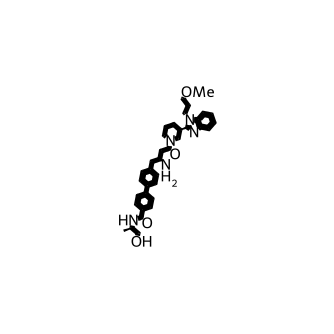 COCCCn1c([C@@H]2CCCN(C(=O)C[C@H](N)Cc3ccc(-c4ccc(C(=O)N[C@H](C)CO)cc4)cc3)C2)nc2ccccc21